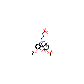 CC(=O)Oc1ccc2c3c1O[C@H]1[C@@H](OC(C)=O)C=C[C@H]4C(C2)N(CCCC(=O)O)CC[C@@]341